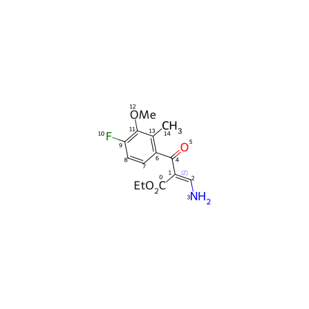 CCOC(=O)/C(=C\N)C(=O)c1ccc(F)c(OC)c1C